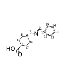 O=C(O)[C@H]1CC[C@H](C/N=C/c2ccccc2)CC1